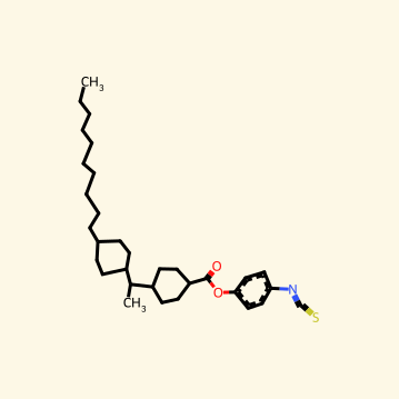 CCCCCCCCCCC1CCC(C(C)C2CCC(C(=O)Oc3ccc(N=C=S)cc3)CC2)CC1